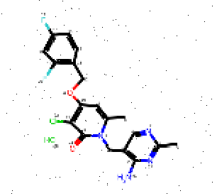 Cc1ncc(Cn2c(C)cc(OCc3ccc(F)cc3F)c(Cl)c2=O)c(N)n1.Cl